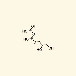 OCC(O)COP(O)OP(O)O